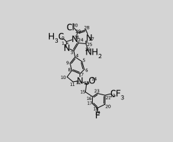 Cc1nc(-c2ccc3c(c2)CCN3C(=O)Cc2cc(F)cc(C(F)(F)F)c2)c2c(N)ncc(Cl)n12